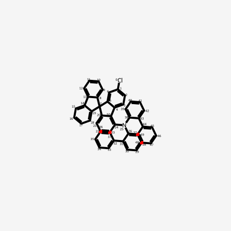 Clc1ccc2c(c1)C1(c3ccccc3-c3ccccc31)c1cccc(N(c3ccccc3-c3ccccc3)c3ccccc3-c3ccccc3)c1-2